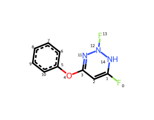 FC1=CC(Oc2ccccc2)=NN(F)N1